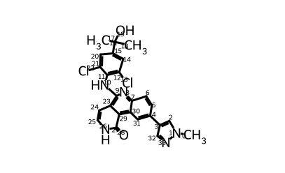 Cn1cc(-c2ccc3nc(Nc4c(Cl)cc(C(C)(C)O)cc4Cl)c4cc[nH]c(=O)c4c3c2)cn1